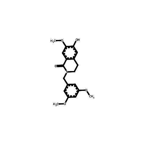 COc1cc(CN2CCc3cc(O)c(OC)cc3C2=O)cc(OC)c1